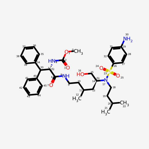 COC(=O)N[C@H](C(=O)NCCC(C)C[C@@H](CO)N(CCC(C)C)S(=O)(=O)c1ccc(N)cc1)C(c1ccccc1)c1ccccc1